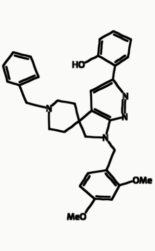 COc1ccc(CN2CC3(CCN(Cc4ccccc4)CC3)c3cc(-c4ccccc4O)nnc32)c(OC)c1